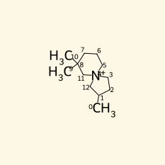 CC1CC[N+]2(CCCC(C)(C)C2)C1